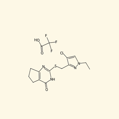 CCn1cc(Cl)c(CSc2nc3c(c(=O)[nH]2)CCC3)n1.O=C(O)C(F)(F)F